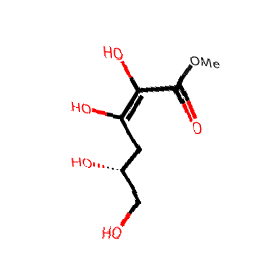 COC(=O)/C(O)=C(/O)C[C@@H](O)CO